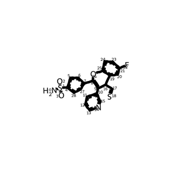 NS(=O)(=O)c1ccc(C2=C(c3cccnc3)C(C=S)c3cc(F)ccc3O2)cc1